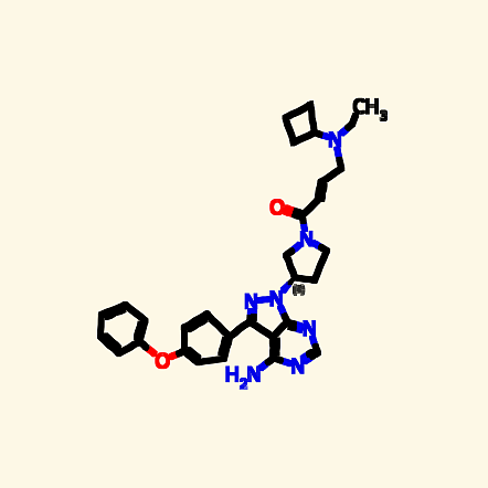 CCN(CC=CC(=O)N1CC[C@@H](n2nc(-c3ccc(Oc4ccccc4)cc3)c3c(N)ncnc32)C1)C1CCC1